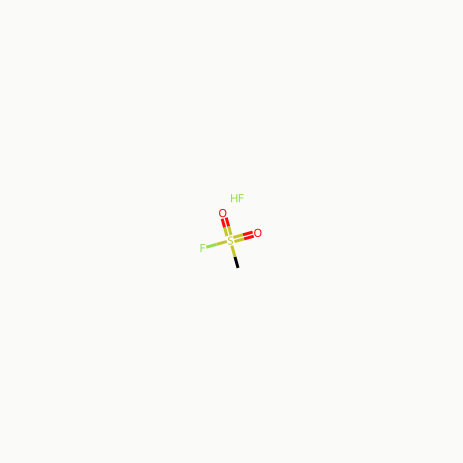 CS(=O)(=O)F.F